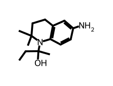 CCC(C)(O)N1c2ccc(N)cc2CCC1(C)C